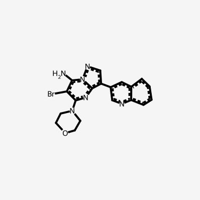 Nc1c(Br)c(N2CCOCC2)nc2c(-c3cnc4ccccc4c3)cnn12